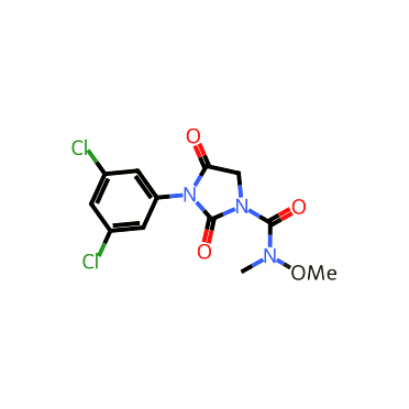 CON(C)C(=O)N1CC(=O)N(c2cc(Cl)cc(Cl)c2)C1=O